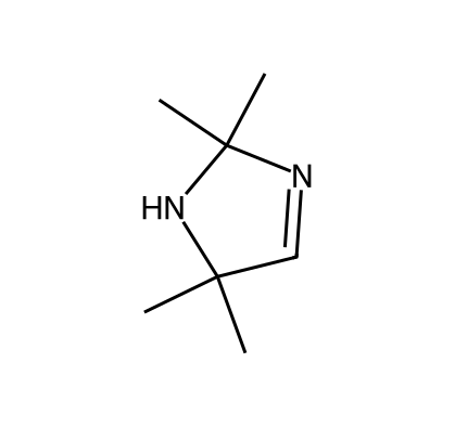 CC1(C)C=NC(C)(C)N1